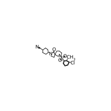 Cc1c(Cl)cccc1S(=O)(=O)N1CCCC2(CCN(C3CCC(C#N)CC3)C2=O)C1